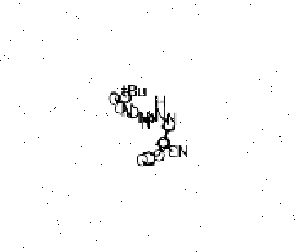 CC(C)(C)OC(=O)ON1CCC(n2cc(Nc3cc(-c4ccc(OC5CCOCC5)c(C#N)c4)ccn3)cn2)CC1